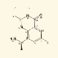 CCc1nc2c([C@@H](C)N)cc(C)cc2c(=O)n1C